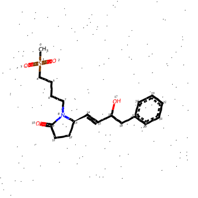 CS(=O)(=O)CCCCN1C(=O)CC[C@@H]1/C=C/C(O)Cc1ccccc1